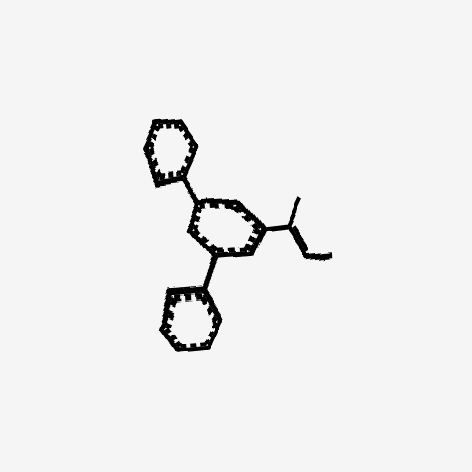 C/C=C(\C)c1cc(-c2ccccc2)cc(-c2ccccc2)c1